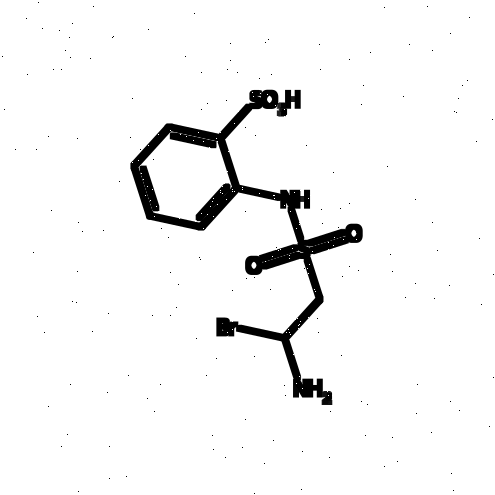 NC(Br)CS(=O)(=O)Nc1ccccc1S(=O)(=O)O